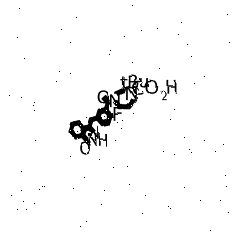 CC(C)(C)C1CN(C(=O)c2cc(Cc3n[nH]c(=O)c4c3CCCC4)ccc2F)CCCN1C(=O)O